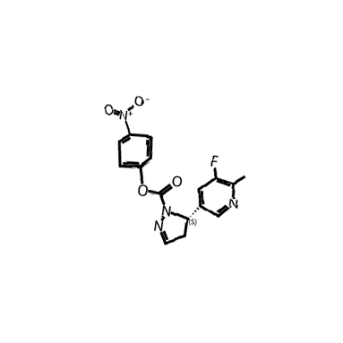 Cc1ncc([C@@H]2CC=NN2C(=O)Oc2ccc([N+](=O)[O-])cc2)cc1F